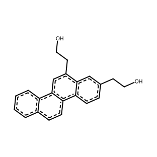 OCCc1ccc2c(c1)c(CCO)cc1c3ccccc3ccc21